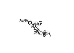 CC(=O)Nc1ccc(-c2nc(N3CCOCC3)c3sc(S(=O)(=O)CN4CCN(S(C)(=O)=O)CC4)cc3n2)cc1